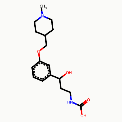 CN1CCC(COc2cccc(C(O)CCNC(=O)O)c2)CC1